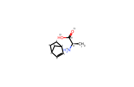 C1=CC2CCC1C2.C[C@@H](N)C(=O)O